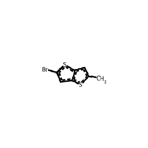 Cc1cc2sc(Br)cc2s1